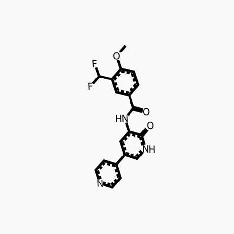 COc1ccc(C(=O)Nc2cc(-c3ccncc3)c[nH]c2=O)cc1C(F)F